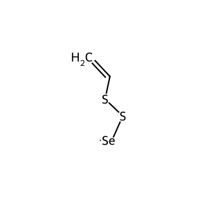 C=CSS[Se]